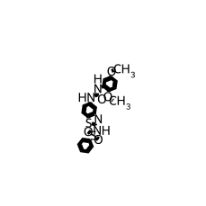 COc1ccc(OC)c(NC(=O)Nc2ccc3sc(NS(=O)(=O)c4ccccc4)nc3c2)c1